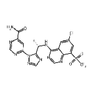 C[C@H](Nc1ncnc2c(S(=O)(=O)C(F)(F)F)cc(Cl)cc12)c1ncnn1-c1cc(C(N)=O)ncn1